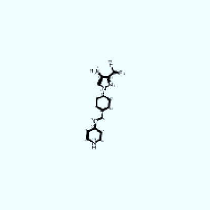 Nc1cn([C@H]2CC[C@H](COC3CCNCC3)CC2)nc1C(F)F